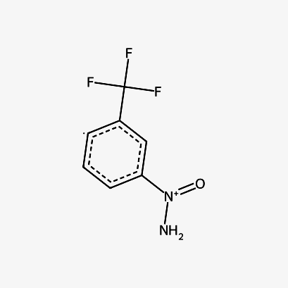 N[N+](=O)c1cc[c]c(C(F)(F)F)c1